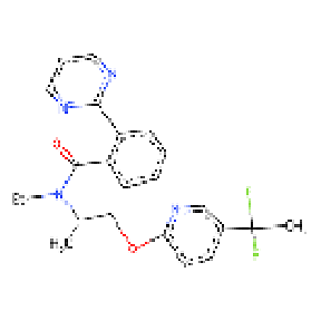 CCN(C(=O)c1ccccc1-c1ncccn1)[C@@H](C)COc1ccc(C(C)(F)F)cn1